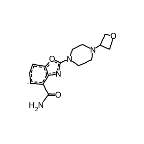 NC(=O)c1[c]ccc2oc(N3CCN(C4COC4)CC3)nc12